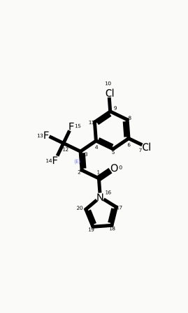 O=C(/C=C(\c1cc(Cl)cc(Cl)c1)C(F)(F)F)n1cccc1